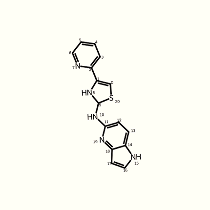 C1=C(c2ccccn2)NC(Nc2ccc3[nH]ccc3n2)S1